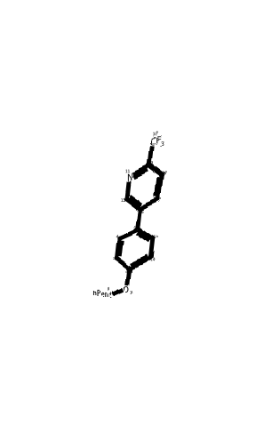 CCCCCOc1ccc(-c2ccc(C(F)(F)F)nc2)cc1